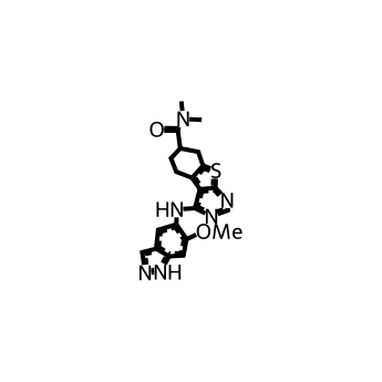 COc1cc2[nH]ncc2cc1Nc1ncnc2sc3c(c12)CCC(C(=O)N(C)C)C3